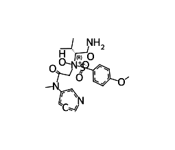 COc1ccc(S(=O)(=O)[N+](O)(CC(=O)N(C)c2cccnc2)[C@@H](C(N)=O)C(C)C)cc1